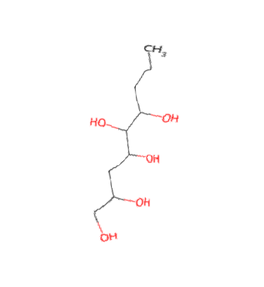 CCCC(O)C(O)C(O)CC(O)CO